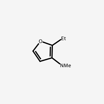 CCc1occc1NC